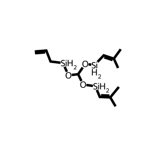 C=CC[SiH2]OC(O[SiH2]C=C(C)C)O[SiH2]C=C(C)C